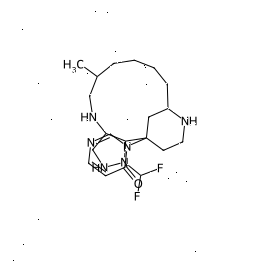 CC1CCCCC2CC(n3cnccc3=O)(CCN2)C2C(CNN2C(F)F)NC1